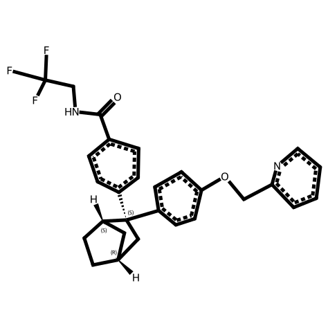 O=C(NCC(F)(F)F)c1ccc([C@]2(c3ccc(OCc4ccccn4)cc3)C[C@@H]3CC[C@H]2C3)cc1